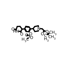 CC(C)(C)OC(=O)CN1CCC(c2ccc(C3CCC(=O)NC3=O)cc2OS(C)(=O)=O)CC1